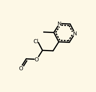 Cc1ncncc1CC(Cl)OC=O